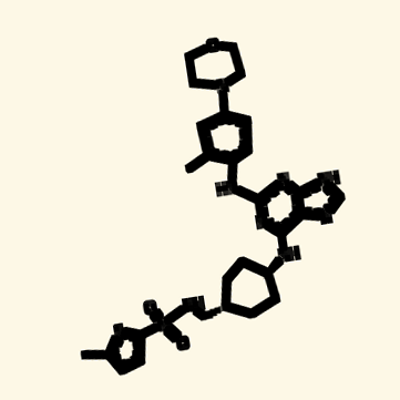 Cc1ccc(S(=O)(=O)NC[C@H]2CC[C@H](Nc3nc(Nc4ccc(N5CCOCC5)cc4C)nc4[nH]cnc34)CC2)s1